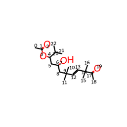 CC(=O)OC(CC(O)CC(C)(C)C=CC(C)(C)C(C)=O)C(C)C